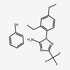 CCc1ccc(-n2nc(C(F)(F)F)nc2N)c(CC)c1.Sc1ccccc1